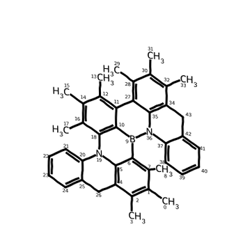 Cc1c(C)c2c3c(c1C)B1c4c(c(C)c(C)c(C)c4N3c3ccccc3C2)-c2c(C)c(C)c(C)c3c2N1c1ccccc1C3